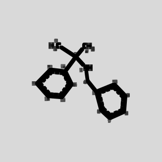 CC(C)(BCc1ccccc1)c1ccccc1